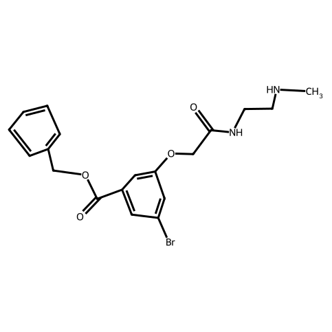 CNCCNC(=O)COc1cc(Br)cc(C(=O)OCc2ccccc2)c1